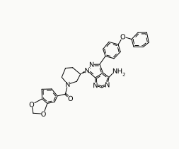 Nc1ncnc2c1c(-c1ccc(Oc3ccccc3)cc1)nn2[C@@H]1CCCN(C(=O)c2ccc3c(c2)OCO3)C1